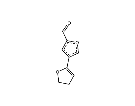 O=Cc1cc(C2=CCCO2)co1